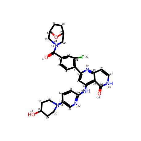 O=C(c1ccc(-c2cc(Nc3ccc(N4CCC(O)CC4)cn3)c3c(=O)[nH]ccc3n2)c(F)c1)N1CC2CCC(C1)O2